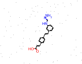 NN=CNc1cccc(C=Cc2ccc(C=CC(=O)O)cc2)c1